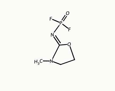 CN1CCOC1=NP(=O)(F)F